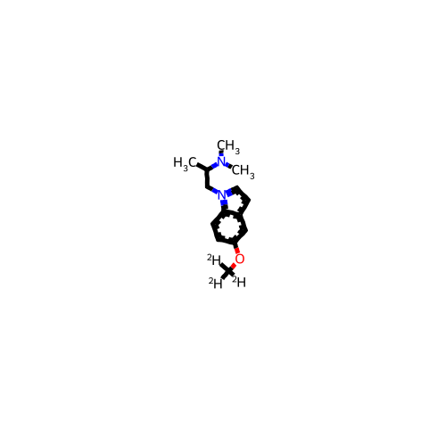 [2H]C([2H])([2H])Oc1ccc2c(ccn2CC(C)N(C)C)c1